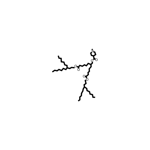 CCCCCCCC(CCCCCCC)CCCOC(=O)CCCCCC(CCCCCC(=O)OCCCC(CCCCCCC)CCCCCCC)COC(=O)C1CCN(C)CC1